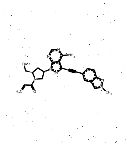 C=CC(=O)N1CC(n2nc(C#Cc3ccc4nn(C)cc4c3)c3c(N)ncnc32)C[C@@H]1COC